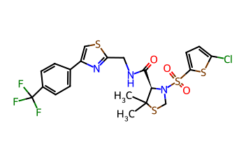 CC1(C)SCN(S(=O)(=O)c2ccc(Cl)s2)[C@@H]1C(=O)NCc1nc(-c2ccc(C(F)(F)F)cc2)cs1